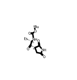 CC[C@H](NC(=O)OC(C)(C)C)C(=O)[C@H]1CC(=O)NC1=O